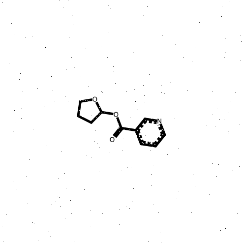 O=C(OC1CCCO1)c1cccnc1